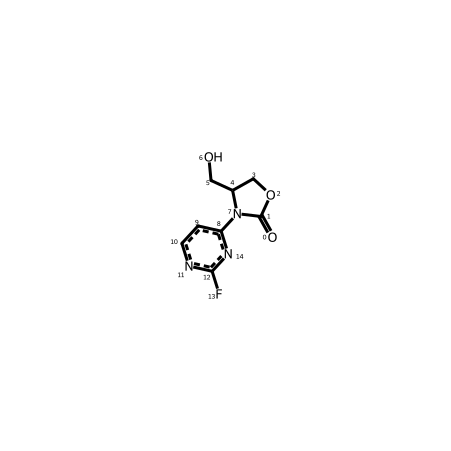 O=C1OCC(CO)N1c1ccnc(F)n1